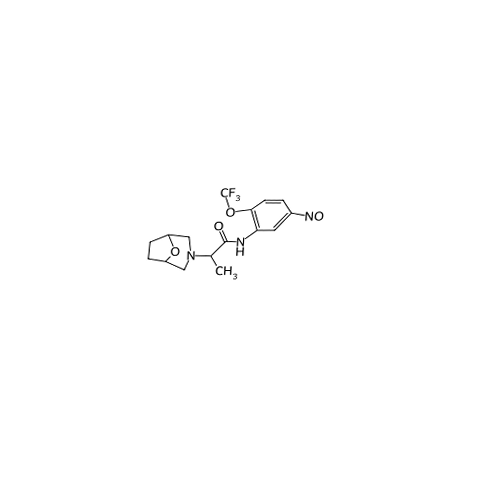 CC(C(=O)Nc1cc(N=O)ccc1OC(F)(F)F)N1CC2CCC(C1)O2